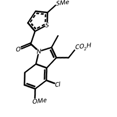 COC1=CCC2C(=C1Cl)C(CC(=O)O)=C(C)N2C(=O)c1ccc(SC)s1